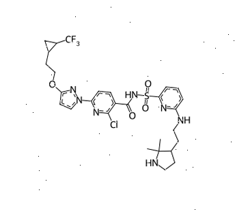 CC1(C)NCCC1CCNc1cccc(S(=O)(=O)NC(=O)c2ccc(-n3ccc(OCCC4CC4C(F)(F)F)n3)nc2Cl)n1